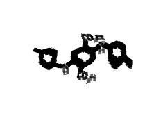 CCOC(=O)C1=C(Nc2ccc(C)cc2)CC(C(=O)O)=C(Nc2ccc(C)cc2)C1